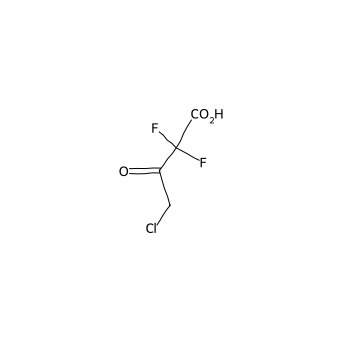 O=C(O)C(F)(F)C(=O)CCl